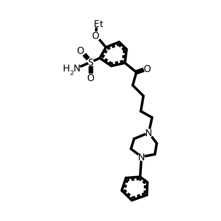 CCOc1ccc(C(=O)CCCCN2CCN(c3ccccc3)CC2)cc1S(N)(=O)=O